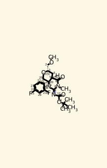 COC[C@@H]1C[C@H]2C(=O)N(C)/C(=N\C(=O)OC(C)(C)C)N[C@@]2(c2ccc(F)cc2F)CO1